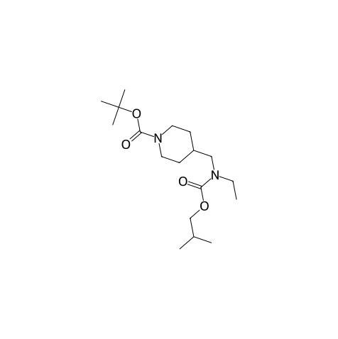 CCN(CC1CCN(C(=O)OC(C)(C)C)CC1)C(=O)OCC(C)C